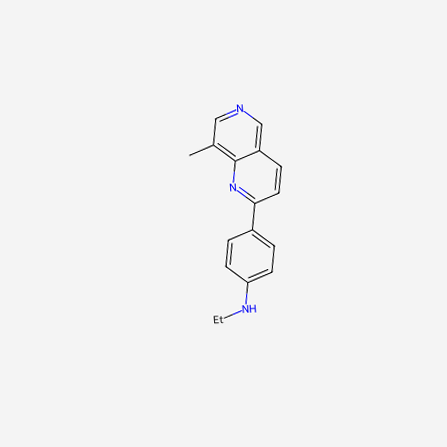 CCNc1ccc(-c2ccc3cncc(C)c3n2)cc1